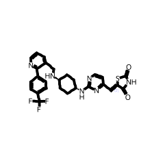 O=C1NC(=O)/C(=C/c2ccnc(N[C@H]3CC[C@H](NCc4cccnc4-c4ccc(C(F)(F)F)cc4)CC3)n2)S1